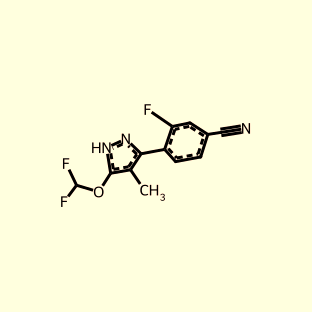 Cc1c(-c2ccc(C#N)cc2F)n[nH]c1OC(F)F